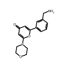 NCc1cccc(-c2cc(=O)cc(N3CCOCC3)o2)c1